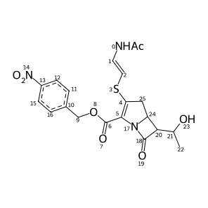 CC(=O)NC=CSC1=C(C(=O)OCc2ccc([N+](=O)[O-])cc2)N2C(=O)C(C(C)O)C2C1